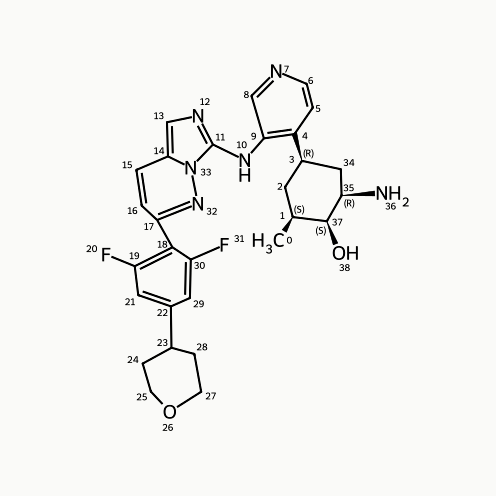 C[C@H]1C[C@@H](c2ccncc2Nc2ncc3ccc(-c4c(F)cc(C5CCOCC5)cc4F)nn23)C[C@@H](N)[C@H]1O